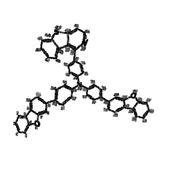 c1ccc2c(c1)oc1cc(-c3ccc(N(c4ccc(-c5ccc6c(c5)oc5ccccc56)cc4)c4ccc(-c5nccc6sc7ccccc7c56)cc4)cc3)ccc12